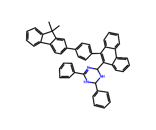 CC1(C)c2ccccc2-c2ccc(-c3ccc(-c4c(C5N=C(c6ccccc6)NC(c6ccccc6)N5)c5ccccc5c5ccccc45)cc3)cc21